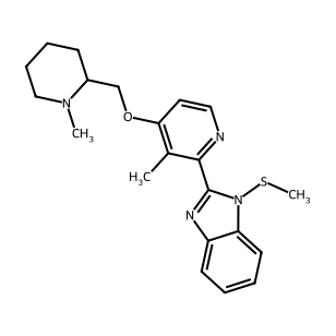 CSn1c(-c2nccc(OCC3CCCCN3C)c2C)nc2ccccc21